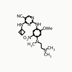 COc1cc(N(C)CCN(C)C)c([N+](=O)[O-])cc1Nc1ncc(C#N)c(NC23CC(C2)C3)n1